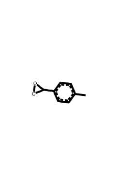 Cc1ccc(C2OO2)cc1